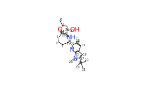 CC(C)O[C@@H]1CCC[C@@H](c2nc3c(cc2F)cc(C(C)(C)C)n3C)N[C@H]1CO